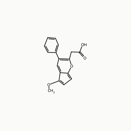 COc1ccc2oc(CC(=O)O)c(-c3ccccc3)cc1-2